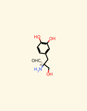 N[C@](C=O)(CO)Cc1ccc(O)c(O)c1